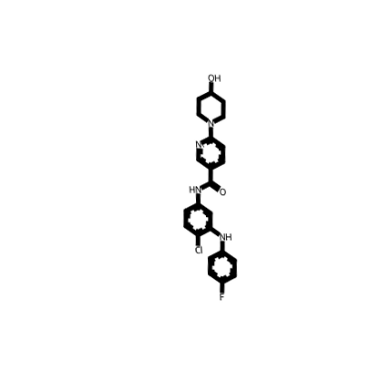 O=C(Nc1ccc(Cl)c(Nc2ccc(F)cc2)c1)c1ccc(N2CCC(O)CC2)nc1